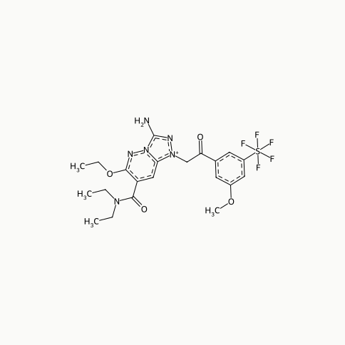 CCOc1nn2c(N)n[n+](CC(=O)c3cc(OC)cc(S(F)(F)(F)(F)F)c3)c2cc1C(=O)N(CC)CC